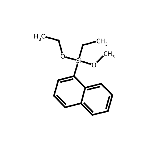 CCO[Si](CC)(OC)c1cccc2ccccc12